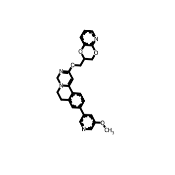 COc1cncc(-c2ccc3c(c2)CCN2CN=C(OCC4COc5ncccc5O4)C=C32)c1